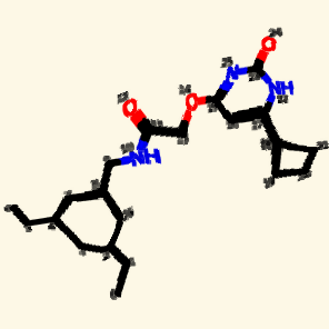 CCC1CC(CC)CC(CNC(=O)COc2cc(C3CCC3)[nH]c(=O)n2)C1